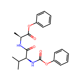 CC(C)[C@H](NC(=O)Oc1ccccc1)C(=O)N[C@@H](C)C(=O)Oc1ccccc1